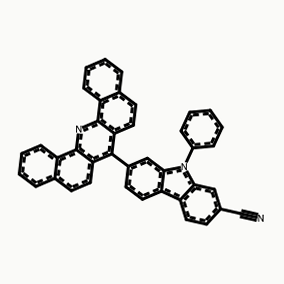 N#Cc1ccc2c3ccc(-c4c5ccc6ccccc6c5nc5c4ccc4ccccc45)cc3n(-c3ccccc3)c2c1